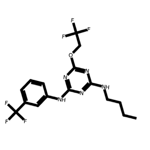 CCCCNc1nc(Nc2cccc(C(F)(F)F)c2)nc(OCC(F)(F)F)n1